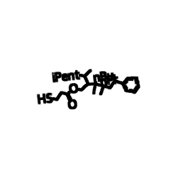 CCCCC(C)(C(COC(=O)CCS)C(C)C(C)CCC)C(C)(CCC)CC(C)c1ccccc1